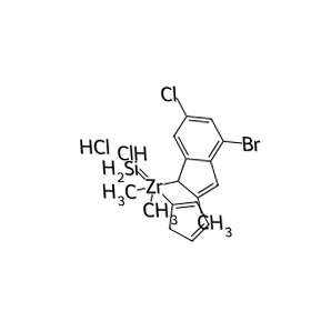 CC1=Cc2c(Br)cc(Cl)cc2[CH]1[Zr]([CH3])([CH3])(=[SiH2])[C]1=CC=CC1.Cl.Cl